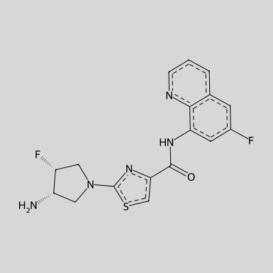 N[C@H]1CN(c2nc(C(=O)Nc3cc(F)cc4cccnc34)cs2)C[C@H]1F